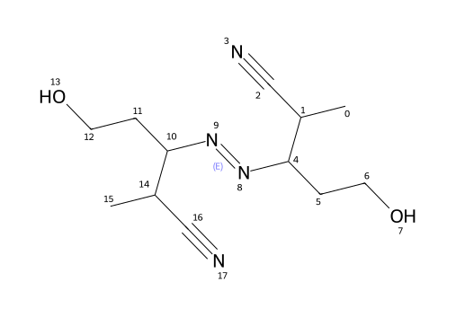 CC(C#N)C(CCO)/N=N/C(CCO)C(C)C#N